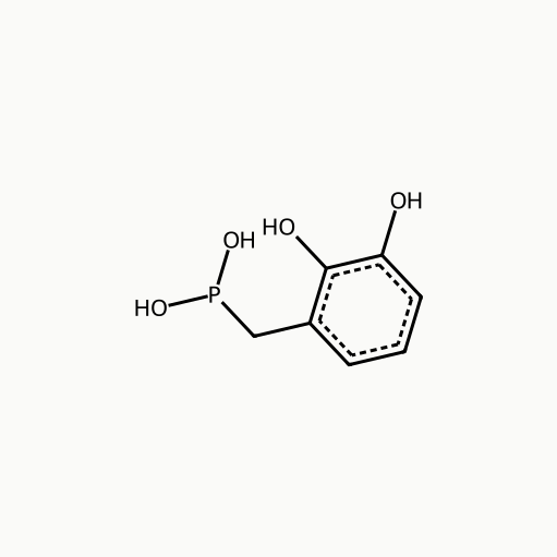 Oc1cccc(CP(O)O)c1O